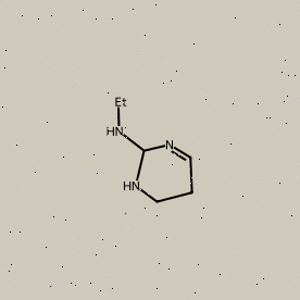 [CH2]CNC1N=CCCN1